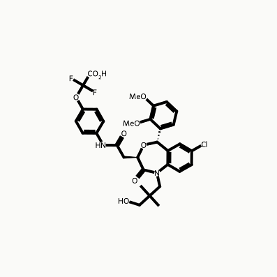 COc1cccc([C@H]2O[C@H](CC(=O)Nc3ccc(OC(F)(F)C(=O)O)cc3)C(=O)N(CC(C)(C)CO)c3ccc(Cl)cc32)c1OC